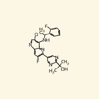 CC(Nc1c(Cl)cnc2cc(F)c(-c3cnc(C(C)(C)O)nc3)nc12)c1ccccc1F